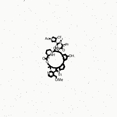 CCn1c(-c2cnccc2COC)c2c3cc(ccc31)-c1cc(O)cc(c1)C[C@H](NC(=O)[C@H](C(C)C)N(C)C(=O)[C@@H]1CN(C(C)=O)C[C@@H]1C(F)(F)F)C(=O)N1CCC[C@H](N1)C(=O)OCC(C)(C)C2